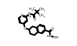 CC(C)(C)C(=O)Nc1cc(OC2CCc3cc(C(=O)NO)ccc3C2)ccn1